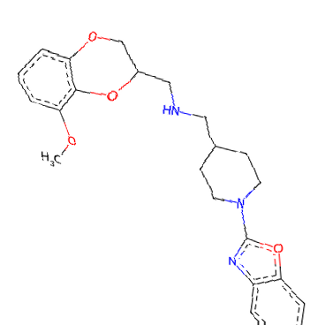 COc1cccc2c1OC(CNCC1CCN(c3nc4ccccc4o3)CC1)CO2